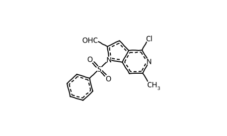 Cc1cc2c(cc(C=O)n2S(=O)(=O)c2ccccc2)c(Cl)n1